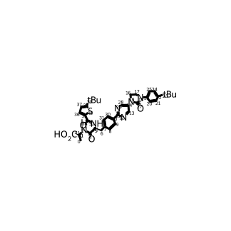 C[C@@H](NC(=O)[C@H](Cc1ccc(-c2ncc(N3CCN(c4ccc(C(C)(C)C)cc4)C3=O)cn2)cc1)NC(=O)c1ccc(C(C)(C)C)s1)C(=O)O